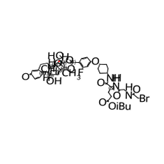 CC(C)COC(=O)CC[C@H](NC(=O)CNC(=O)CBr)C(=O)NC1CCC(Oc2ccc([C@@H]3O[C@@H]4C[C@H]5[C@@H]6CCC7=CC(=O)C=C[C@]7(C)[C@H]6[C@@H](O)C[C@]5(C)[C@]4(C(=O)CO)O3)c(F)c2)CC1